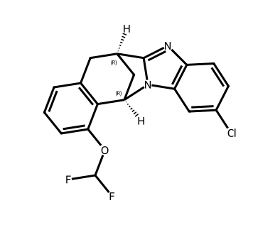 FC(F)Oc1cccc2c1[C@H]1C[C@@H](C2)c2nc3ccc(Cl)cc3n21